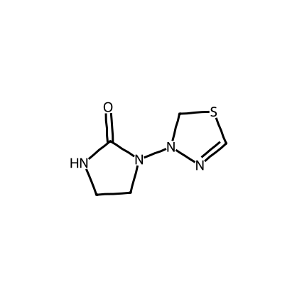 O=C1NCCN1N1CSC=N1